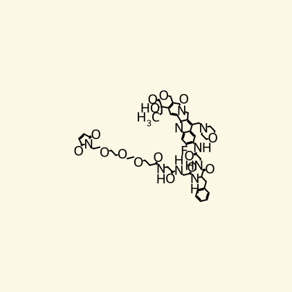 CC[C@@]1(O)C(=O)OCc2c1cc1n(c2=O)Cc2c-1nc1cc(F)c(NC(=O)CNC(=O)C(Cc3ccccc3)NC(=O)CNC(=O)CNC(=O)CCOCCOCCOCCN3C(=O)C=CC3=O)cc1c2CN1CCOCC1